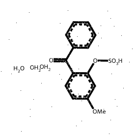 COc1ccc(C(=O)c2ccccc2)c(OS(=O)(=O)O)c1.O.O.O